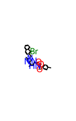 Cc1ccc(S(=O)(=O)NC(=O)c2cc(C)c3nc(C)n(Cc4ccc5ccccc5c4Br)c3n2)cc1